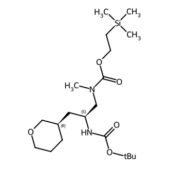 CN(C[C@H](C[C@H]1CCCOC1)NC(=O)OC(C)(C)C)C(=O)OCC[Si](C)(C)C